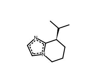 CC(C)[C@H]1CCCn2ccnc21